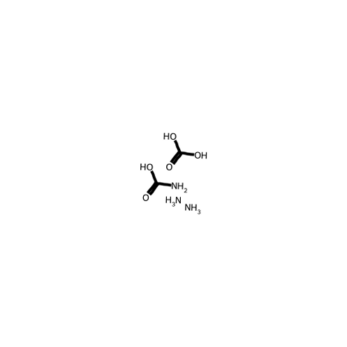 N.N.NC(=O)O.O=C(O)O